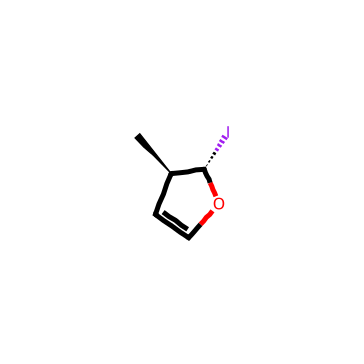 C[C@@H]1C=CO[C@H]1I